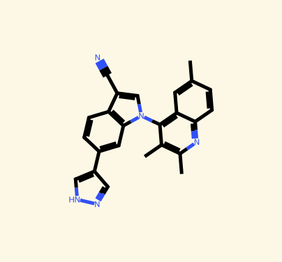 Cc1ccc2nc(C)c(C)c(-n3cc(C#N)c4ccc(-c5cn[nH]c5)cc43)c2c1